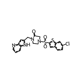 O=C1CN(S(=O)(=O)c2cc3ccc(Cl)cc3s2)CCN1Cc1cc2ncccc2[nH]1